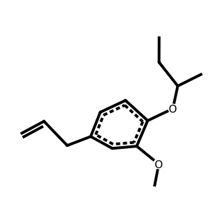 C=CCc1ccc(OC(C)CC)c(OC)c1